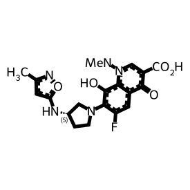 CNn1cc(C(=O)O)c(=O)c2cc(F)c(N3CC[C@H](Nc4cc(C)no4)C3)c(O)c21